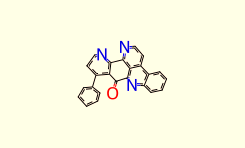 O=C1c2c(-c3ccccc3)ccnc2-c2nccc3c2c1nc1ccccc13